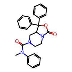 CN(C(=O)N1CCN2C(=O)OC(c3ccccc3)(c3ccccc3)C2C1)c1ccccc1